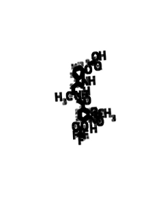 C[C@H](Cc1c[nH]c2c(OCC(=O)O)cccc12)NC[C@H](O)c1ccc(OC(=O)C(F)(F)F)c(NS(C)(=O)=O)c1